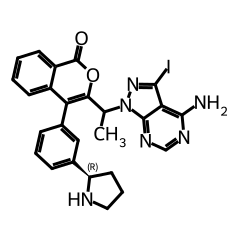 CC(c1oc(=O)c2ccccc2c1-c1cccc([C@H]2CCCN2)c1)n1nc(I)c2c(N)ncnc21